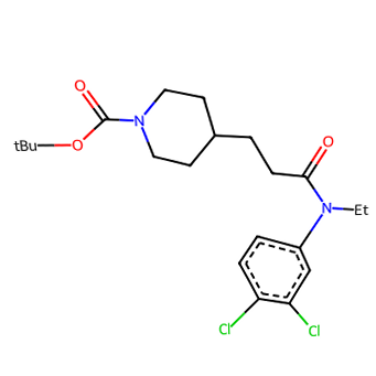 CCN(C(=O)CCC1CCN(C(=O)OC(C)(C)C)CC1)c1ccc(Cl)c(Cl)c1